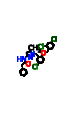 Cc1cc(NC(=O)Cc2ccccc2)nn1Cc1cc(Cl)ccc1OCc1ccc(Cl)cc1Cl